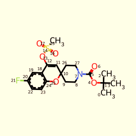 CC(C)(C)OC(=O)N1CCC2(C=C(OS(C)(=O)=O)c3cc(F)ccc3O2)CC1